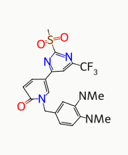 CNc1ccc(Cn2cc(-c3cc(C(F)(F)F)nc(S(C)(=O)=O)n3)ccc2=O)cc1NC